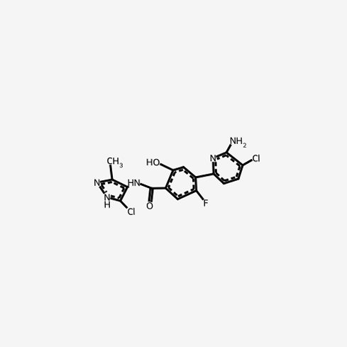 Cc1n[nH]c(Cl)c1NC(=O)c1cc(F)c(-c2ccc(Cl)c(N)n2)cc1O